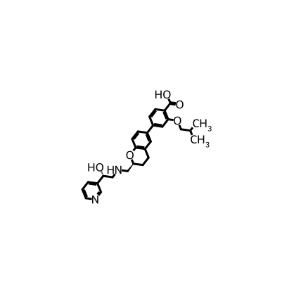 CC(C)COc1cc(-c2ccc3c(c2)CC[C@@H](CNC[C@@H](O)c2cccnc2)O3)ccc1C(=O)O